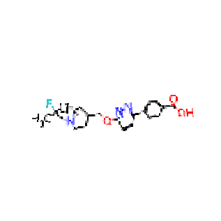 CC(C)(F)CN1CCC(COc2ccc(-c3ccc(C(=O)O)cc3)nn2)CC1